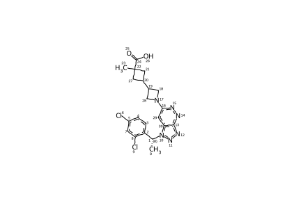 C[C@H](c1ccc(Cl)cc1Cl)n1nnc2nnc(N3CC(C4CC(C)(C(=O)O)C4)C3)cc21